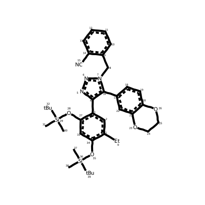 CCc1cc(-c2nnn(Cc3ccccc3C#N)c2-c2ccc3c(c2)OCCO3)c(O[Si](C)(C)C(C)(C)C)cc1O[Si](C)(C)C(C)(C)C